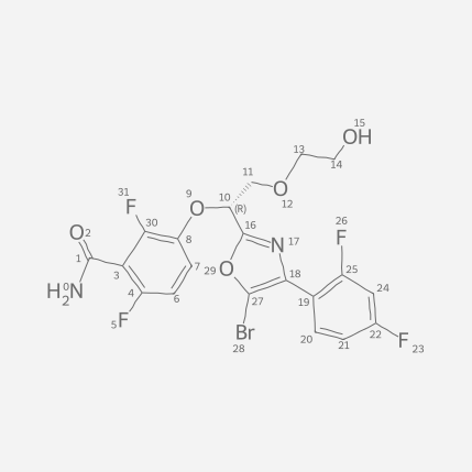 NC(=O)c1c(F)ccc(O[C@H](COCCO)c2nc(-c3ccc(F)cc3F)c(Br)o2)c1F